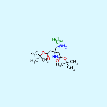 CC(C)(C)OC(=O)CC(N)(CN)CC(=O)OC(C)(C)C.Cl.Cl